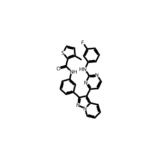 Cc1ccsc1C(=O)Nc1cccc(-c2nn3ccccc3c2-c2ccnc(Nc3cccc(F)c3)n2)c1